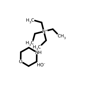 C1COCCN1.CC[N+](CC)(CC)CC.[OH-]